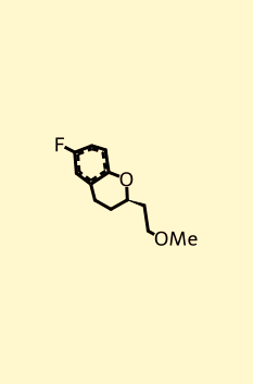 COCC[C@H]1CCc2cc(F)ccc2O1